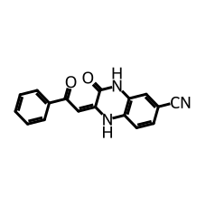 N#Cc1ccc2c(c1)NC(=O)/C(=C\C(=O)c1ccccc1)N2